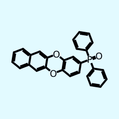 O=P(c1ccccc1)(c1ccccc1)c1ccc2c(c1)Oc1cc3ccccc3cc1O2